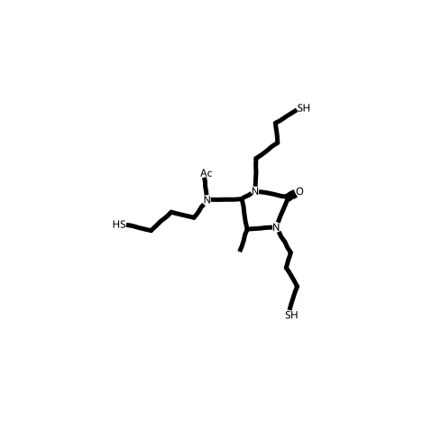 CC(=O)N(CCCS)C1C(C)N(CCCS)C(=O)N1CCCS